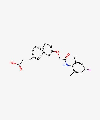 Cc1cc(I)cc(C)c1NC(=O)COc1ccc2ccc(CCC(=O)O)cc2c1